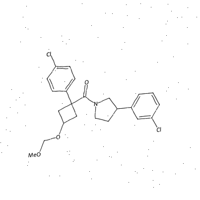 COCOC1CC(C(=O)N2CCC(c3cccc(Cl)c3)C2)(c2ccc(Cl)cc2)C1